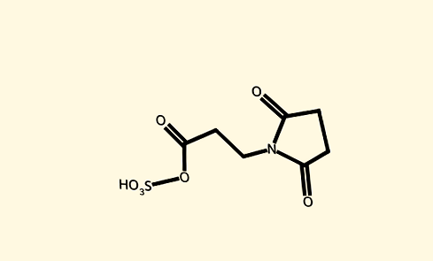 O=C(CCN1C(=O)CCC1=O)OS(=O)(=O)O